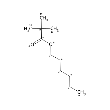 CCCCC[CH]OC(=O)C(C)(C)C